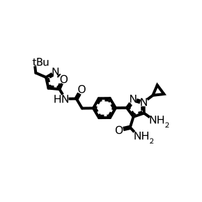 CC(C)(C)Cc1cc(NC(=O)Cc2ccc(-c3nn(C4CC4)c(N)c3C(N)=O)cc2)on1